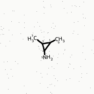 CC1C(C)C1N